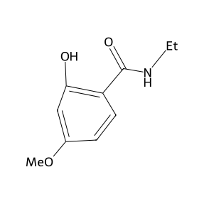 CCNC(=O)c1ccc(OC)cc1O